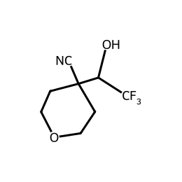 N#CC1(C(O)C(F)(F)F)CCOCC1